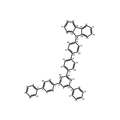 c1ccc(-c2ccc(-c3cc(-c4ccccc4)nc(-c4ccc(-c5ccc(-n6c7ccccc7c7ccccc76)cc5)cc4)n3)cc2)cc1